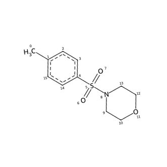 Cc1ccc(S(=O)(=O)N2CCOCC2)cc1